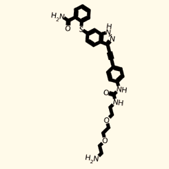 NCCOCCOCCNC(=O)Nc1ccc(C#Cc2n[nH]c3cc(Sc4ccccc4C(N)=O)ccc23)cc1